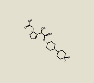 C=C(C(=N)O[C@H]1CC[C@H](N2CCC(F)(F)CC2)CC1)C1=CCC[C@@H]1CC(=O)O